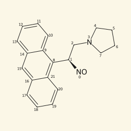 O=N[C@H](CN1CCCC1)c1c2ccccc2cc2ccccc12